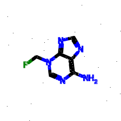 Nc1ncn(CF)c2ncnc1-2